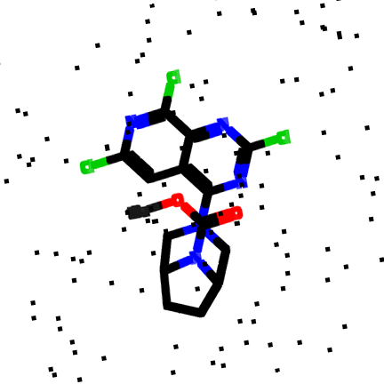 CC(C)(C)OC(=O)N1C2CCC1CN(c1nc(Cl)nc3c(Cl)nc(Cl)cc13)C2